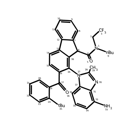 CCCCN(CC(F)(F)F)C(=O)C1c2ccccc2-c2ccc(C(=O)c3ccccc3C(C)(C)C)c(-n3c(C)nc4c(N)cccc43)c21